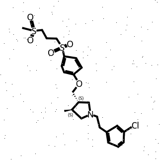 C[C@@H]1CN(CCc2cccc(Cl)c2)C[C@H]1COc1ccc(S(=O)(=O)CCCS(C)(=O)=O)cc1